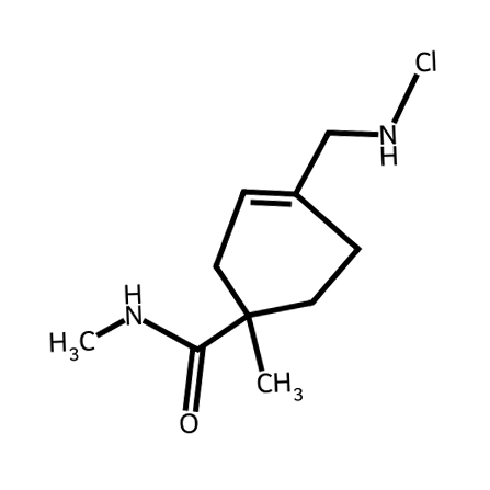 CNC(=O)C1(C)CC=C(CNCl)CC1